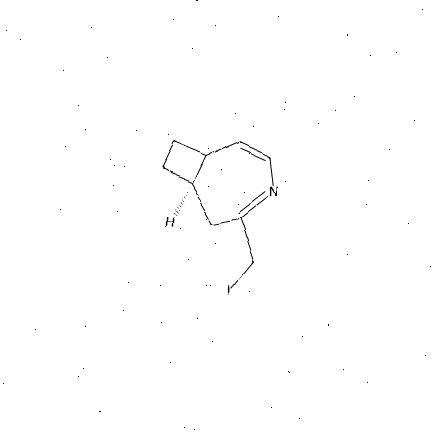 ICC1=NC=CC2CC[C@@H]2C1